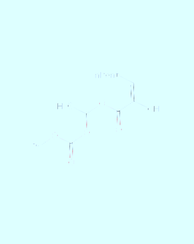 CCCCCC=C(C)C(=O)OC(C)OC(=O)OC(C)C